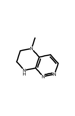 CN1CCNc2nnccc21